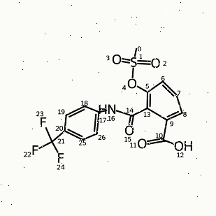 CS(=O)(=O)Oc1cccc(C(=O)O)c1C(=O)Nc1ccc(C(F)(F)F)cc1